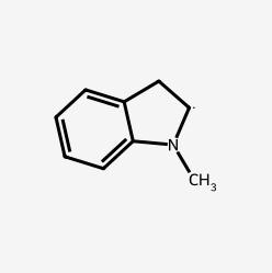 CN1[CH]Cc2ccccc21